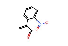 C=C([C]=O)c1ccccc1[N+](=O)[O-]